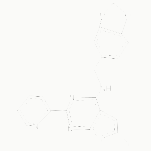 Clc1cc2c(NCc3ccc4c(c3)OCO4)nc(-c3ccccn3)nc2s1